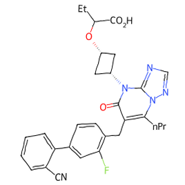 CCCc1c(Cc2ccc(-c3ccccc3C#N)cc2F)c(=O)n([C@H]2C[C@@H](OC(CC)C(=O)O)C2)c2ncnn12